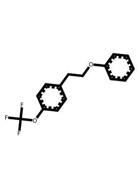 FC(F)(F)Oc1ccc(CCOc2[c]cccc2)cc1